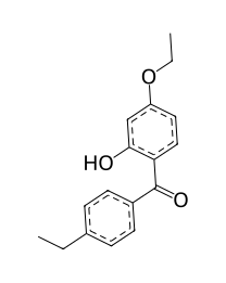 CCOc1ccc(C(=O)c2ccc(CC)cc2)c(O)c1